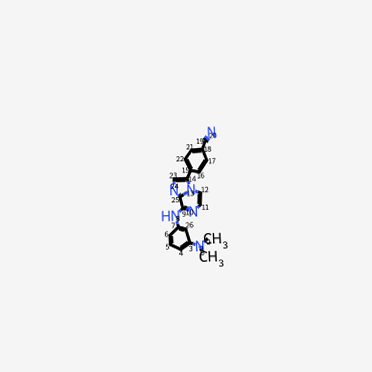 CN(C)c1cccc(Nc2nccn3c(-c4ccc(C#N)cc4)cnc23)c1